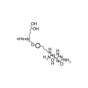 CCCCCCN(CCCC[C@H](O)CO)CCOc1ccc(CCCCN/C(N)=N/C(O)=C2/N=C(Cl)C(N)=NC2=N)cc1